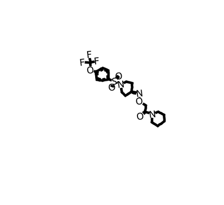 O=C(CON=C1CCN(S(=O)(=O)c2ccc(OC(F)(F)F)cc2)CC1)N1CCCCC1